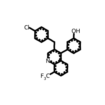 Oc1cccc(-c2c(Cc3ccc(Cl)cc3)cnc3c(C(F)(F)F)cccc23)c1